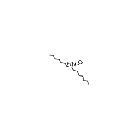 CCCCCCCC(CCCCCCC)NC=O